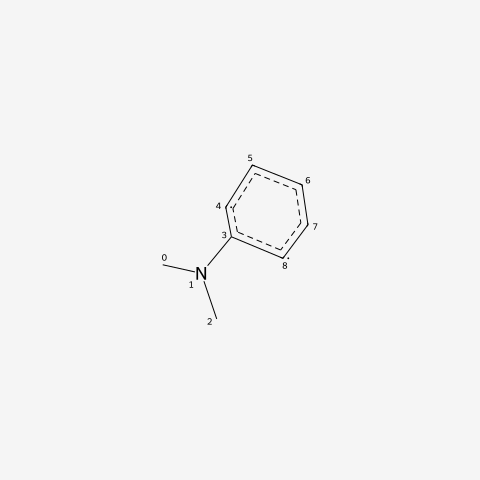 CN(C)c1[c]ccc[c]1